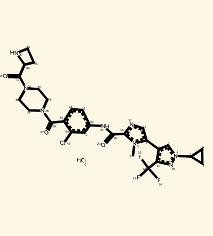 Cl.Cn1c(-c2cn(C3CC3)nc2C(F)(F)F)cnc1C(=O)Nc1ccc(C(=O)N2CCN(C(=O)C3CCN3)CC2)c(Cl)c1